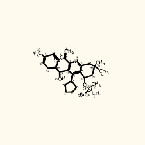 C=C(C)c1nc2c(c(C3CCCC3)c1C(O)c1ccc(C(F)(F)F)cc1)C(O[Si](C)(C)C(C)(C)C)CC(C)(C)C2